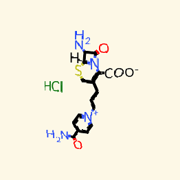 Cl.NC(=O)c1cc[n+](C/C=C/C2=C(C(=O)[O-])N3C(=O)C(N)[C@@H]3SC2)cc1